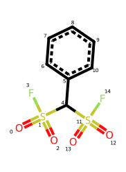 O=S(=O)(F)C(c1ccccc1)S(=O)(=O)F